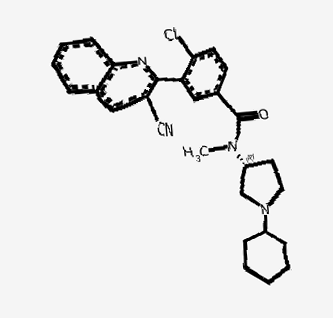 CN(C(=O)c1ccc(Cl)c(-c2nc3ccccc3cc2C#N)c1)[C@@H]1CCN(C2CCCCC2)C1